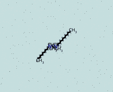 CCCCCCCCCCCC[N+](C)(C)CC[N+](C)(C)CCCCCCCCCC